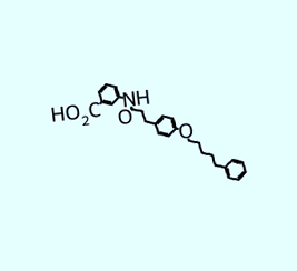 O=C(CCc1ccc(OCCCCCc2ccccc2)cc1)Nc1cccc(C(=O)O)c1